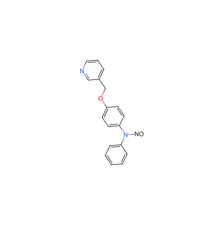 O=NN(c1ccccc1)c1ccc(OCc2cccnc2)cc1